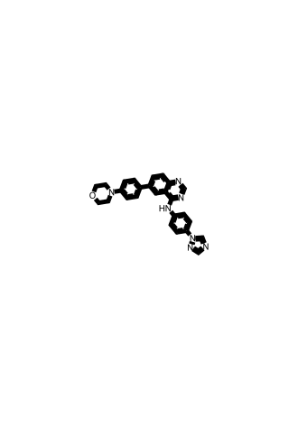 c1nc(Nc2ccc(-n3cncn3)cc2)c2cc(-c3ccc(N4CCOCC4)cc3)ccc2n1